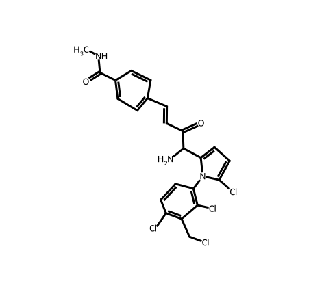 CNC(=O)c1ccc(/C=C/C(=O)C(N)c2ccc(Cl)n2-c2ccc(Cl)c(CCl)c2Cl)cc1